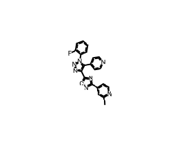 Cc1cc(-c2noc(-c3nnn(-c4ccccc4F)c3-c3ccncc3)n2)ccn1